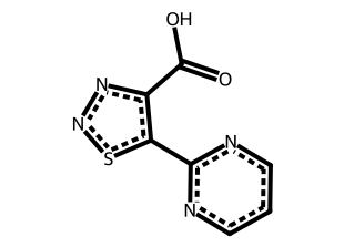 O=C(O)c1nnsc1-c1ncccn1